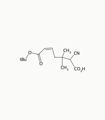 CC(C)(C)OC(=O)/C=C\CC(C)(C)C(C#N)C(=O)O